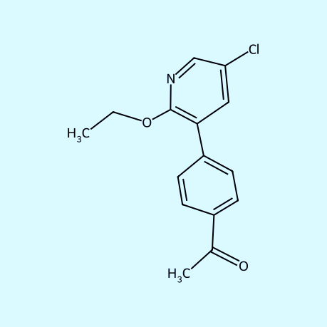 CCOc1ncc(Cl)cc1-c1ccc(C(C)=O)cc1